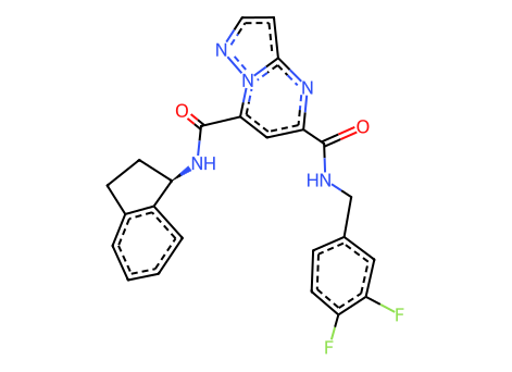 O=C(NCc1ccc(F)c(F)c1)c1cc(C(=O)N[C@@H]2CCc3ccccc32)n2nccc2n1